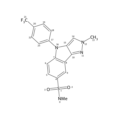 CNS(=O)(=O)c1ccc2c(c1)c1nn(C)cc1n2-c1ccc(C(F)(F)F)cc1